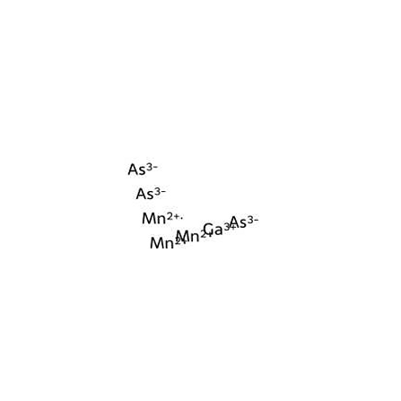 [As-3].[As-3].[As-3].[Ga+3].[Mn+2].[Mn+2].[Mn+2]